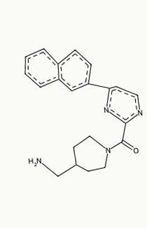 NCC1CCN(C(=O)c2nccc(-c3ccc4ccccc4c3)n2)CC1